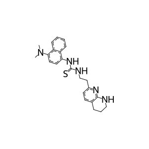 CN(C)c1ccc(NC(=S)NCCc2ccc3c(n2)NCCC3)c2ccccc12